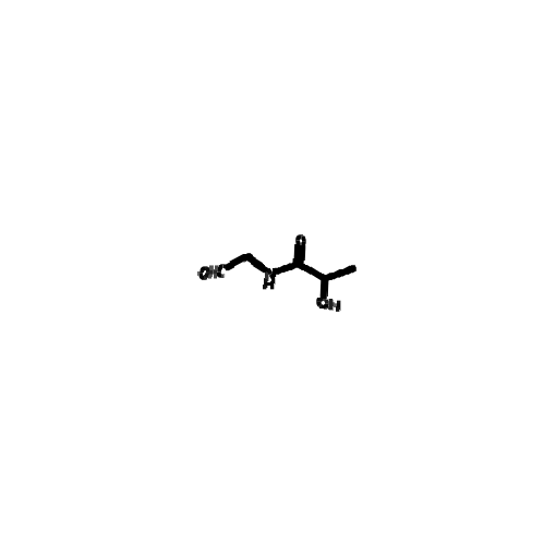 CC(O)C(=O)NC[C]=O